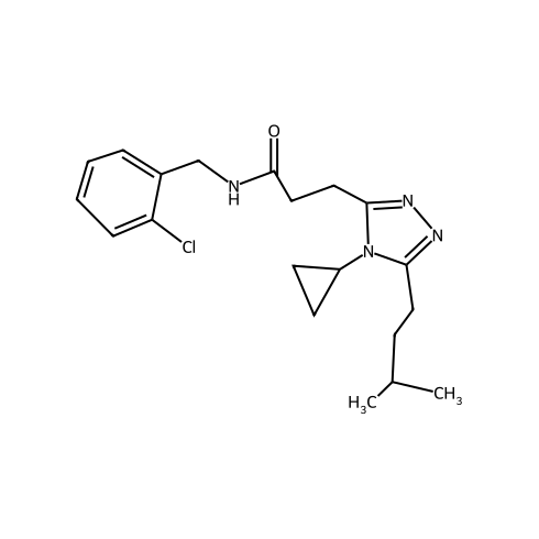 CC(C)CCc1nnc(CCC(=O)NCc2ccccc2Cl)n1C1CC1